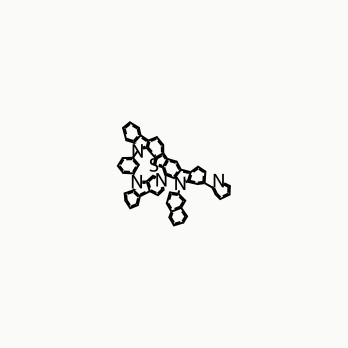 c1ccc(-c2ccc3c4cc5c(cc4n(-c4ccc6ccccc6c4)c3c2)sc2c5ccc3c4ccccc4n(-c4cccc(-n5c6ccccc6c6ccncc65)c4)c32)nc1